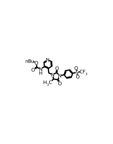 CCCCOC(=O)Nc1cnccc1CN1C(=O)N(c2ccc(S(=O)(=O)C(F)(F)F)cc2)C(=O)C1C